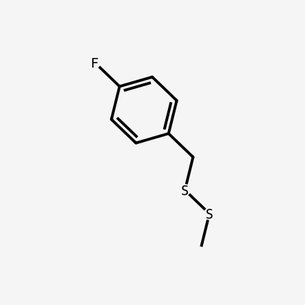 CSSCc1ccc(F)cc1